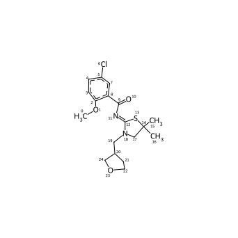 COc1ccc(Cl)cc1C(=O)/N=C1\SC(C)(C)CN1CC1CCOC1